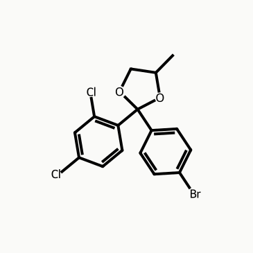 CC1COC(c2ccc(Br)cc2)(c2ccc(Cl)cc2Cl)O1